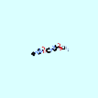 COC(=O)c1ccc(N2CCC(OC(=O)N3CCN(C4CCC4)CC3)CC2)nc1